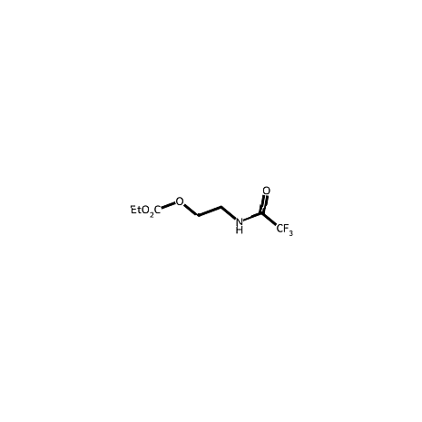 CCOC(=O)OCCNC(=O)C(F)(F)F